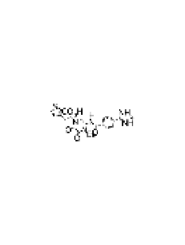 CCN1C(=O)C(=O)N(C(Cc2ccsc2)C(=O)O)CC1NC(=O)c1ccc(C(=N)N)cc1